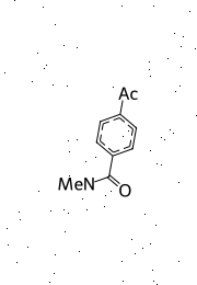 CNC(=O)c1ccc(C(C)=O)cc1